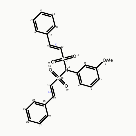 COc1cccc(N(S(=O)(=O)/C=C/c2ccccc2)S(=O)(=O)/C=C/c2ccccc2)c1